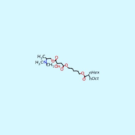 CCCCCCCCC(CCCCCC)C(=O)OCCCCCOC(=O)C[C@H](O)C(=O)OCC(C)N(C)C